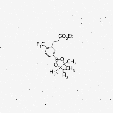 CCOC(=O)CCc1cc(B2OC(C)(C)C(C)(C)O2)ccc1C(F)(F)F